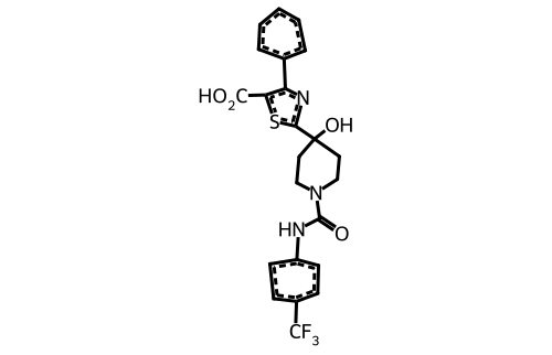 O=C(O)c1sc(C2(O)CCN(C(=O)Nc3ccc(C(F)(F)F)cc3)CC2)nc1-c1ccccc1